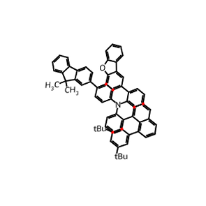 CC(C)(C)c1cc(-c2cccc3cccc(-c4ccccc4N(c4ccc(-c5ccc6c(c5)C(C)(C)c5ccccc5-6)cc4)c4ccccc4-c4ccc5oc6ccccc6c5c4)c23)cc(C(C)(C)C)c1